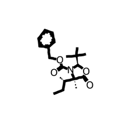 CC[C@H](C)[C@]1(C)C(=O)O[C@H](C(C)(C)C)N1C(=O)OCc1ccccc1